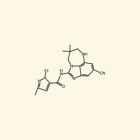 CCn1nc(C)cc1C(=O)Nc1nc2cc(C#N)cc3c2n1CC(C)(C)CN3